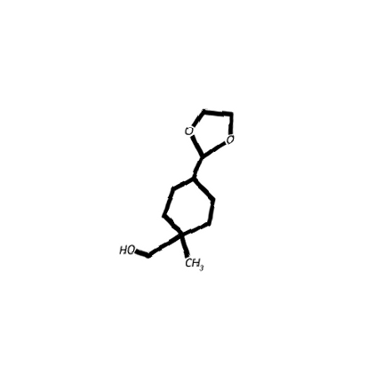 CC1(CO)CCC(C2OCCO2)CC1